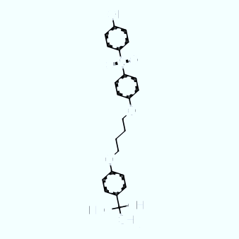 CC(C)(C)c1ccc(OCCCCOc2ccc(S(=O)(=O)c3ccc(O)cc3)cc2)cc1